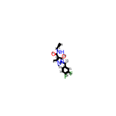 C#CCNC(=O)c1c(C)n(C)n([C@H](C)c2ccc(F)c(F)c2)c1=O